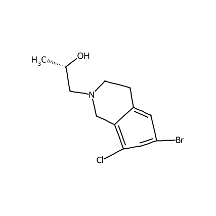 C[C@H](O)CN1CCc2cc(Br)cc(Cl)c2C1